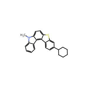 Cn1c2ccccc2c2c3c(ccc21)sc1cc(C2CCCCC2)ccc13